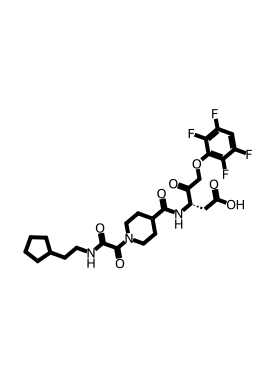 O=C(O)C[C@H](NC(=O)C1CCN(C(=O)C(=O)NCCC2CCCC2)CC1)C(=O)COc1c(F)c(F)cc(F)c1F